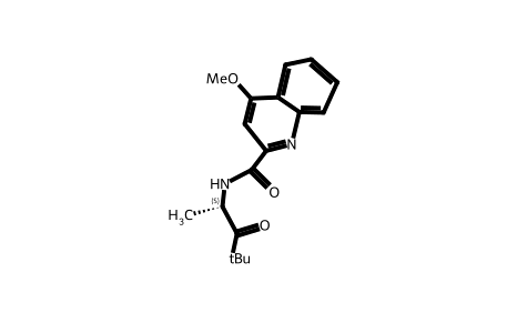 COc1cc(C(=O)N[C@@H](C)C(=O)C(C)(C)C)nc2ccccc12